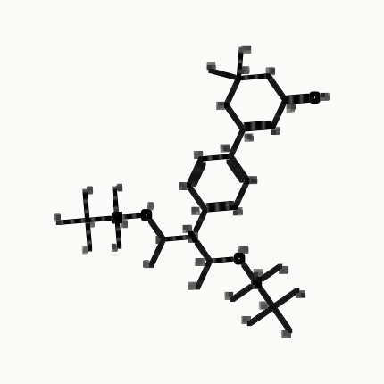 CC(O[Si](C)(C)C(C)(C)C)N(c1ccc(C2=CC(=O)CC(C)(C)C2)cc1)C(C)O[Si](C)(C)C(C)(C)C